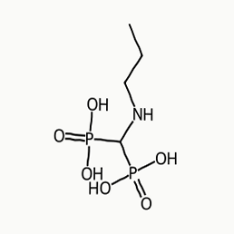 CCCNC(P(=O)(O)O)P(=O)(O)O